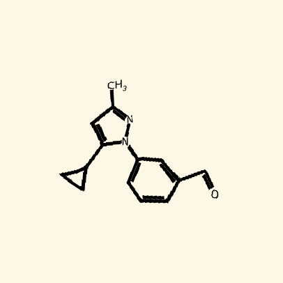 Cc1cc(C2CC2)n(-c2cccc(C=O)c2)n1